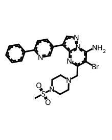 CS(=O)(=O)N1CCN(Cc2nc3c(-c4ccc(-c5ccccc5)nc4)cnn3c(N)c2Br)CC1